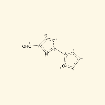 O=Cc1nc(-c2ccco2)cs1